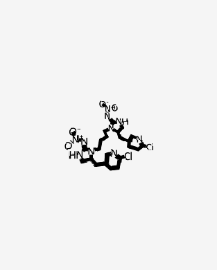 O=[N+]([O-])N=C1NCC(Cc2ccc(Cl)nc2)N1CCCCN1C(=N[N+](=O)[O-])NCC1Cc1ccc(Cl)nc1